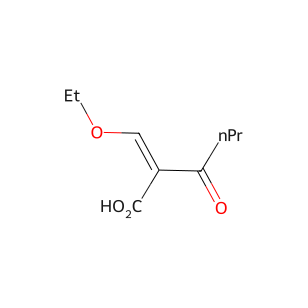 CCCC(=O)C(=COCC)C(=O)O